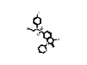 C=C1C(Br)c2ccc(S(=O)(=O)N(CC(C)C)c3ccc(CC)cc3)cc2N1C1CCCCO1